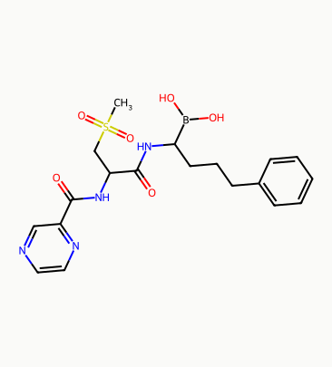 CS(=O)(=O)CC(NC(=O)c1cnccn1)C(=O)NC(CCCc1ccccc1)B(O)O